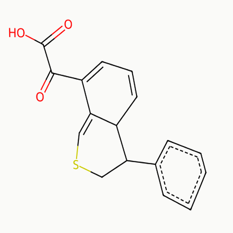 O=C(O)C(=O)C1=CC=CC2C1=CSCC2c1ccccc1